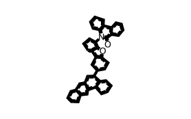 O=c1c2ccccc2c2ccccc2n1-c1cccc2c1oc1ccc(-c3cc4cc5ccccc5cc4c4ccccc34)cc12